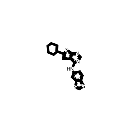 C1=C(c2cc3c(Nc4ccc5scnc5c4)ncnc3s2)CCCC1